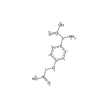 NC(c1ccc(OCC(=O)O)cc1)S(=O)O